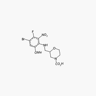 COc1cc(Br)c(F)c([N+](=O)[O-])c1NCC1CN(C(=O)O)CCO1